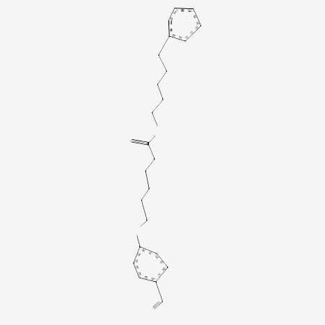 O=[C]c1ccc(OCCCCCC(=O)OCCCCCc2ccccc2)cc1